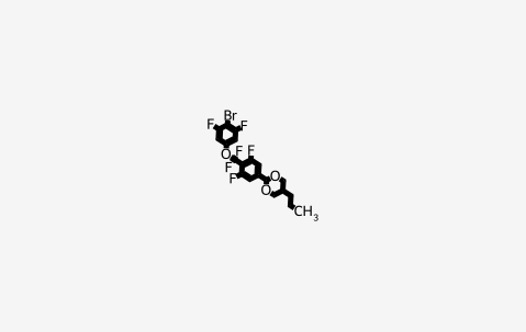 CCCC1COC(c2cc(F)c(C(F)(F)Oc3cc(F)c(Br)c(F)c3)c(F)c2)OC1